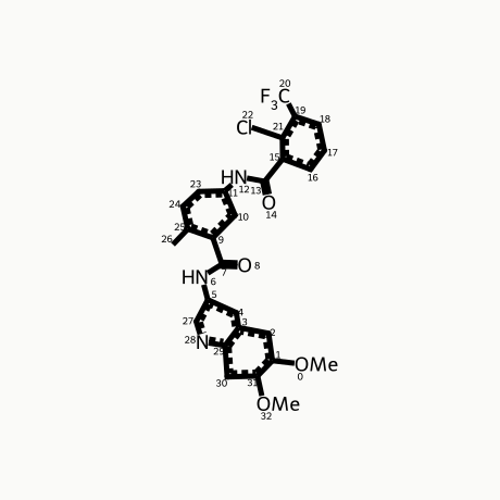 COc1cc2cc(NC(=O)c3cc(NC(=O)c4cccc(C(F)(F)F)c4Cl)ccc3C)cnc2cc1OC